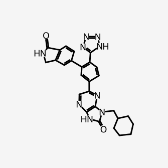 O=C1NCc2cc(-c3cc(-c4cnc5[nH]c(=O)n(CC6CCCCC6)c5n4)ccc3-c3nnn[nH]3)ccc21